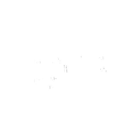 C=C(CCC(/C=C/C(=O)NC1CCC(Oc2ccc(C#N)c(Cl)c2)CC1)CCC)C(C)C(C)C